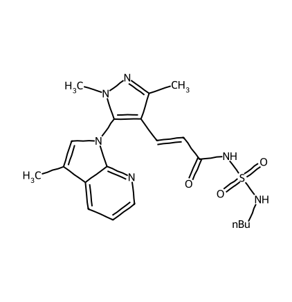 CCCCNS(=O)(=O)NC(=O)/C=C/c1c(C)nn(C)c1-n1cc(C)c2cccnc21